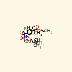 C=CCOC(=O)C(C)(C)c1ccc(C2(N(COCC[Si](C)(C)C)[S+]([O-])C(C)(C)C)COC2)c(F)c1